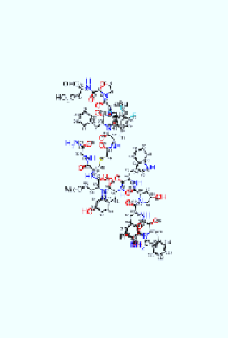 CCCC[C@@H](C(=O)N1CCO[C@@H]1C(=O)N[C@H](C=O)CC(=O)O)N(C)C(=O)[C@H](Cc1ccccc1)N(C)C(=O)[C@H](Cc1cc(F)c(F)c(F)c1)NC(=O)CSC[C@H](NC(=O)[C@H](CCOC)NC(=O)[C@H](Cc1ccc(O)cc1)NC(=O)[C@H](Cc1c[nH]c2ccccc12)NC(=O)[C@H]1C[C@@H](O)CN1C(=O)[C@H](Cc1ccc(O)cc1)NCC(=O)[C@H](Cc1ccccc1)N(C)C(=O)[C@@H](N)C(C)C)C(=O)NCC(N)=O